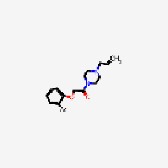 C=CCN1CCN(C(=O)COc2ccccc2C(C)=O)CC1